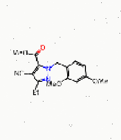 CCc1nn(Cc2ccc(OC)cc2OC)c(C(=O)OC)c1C#N